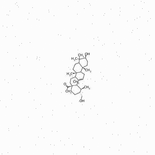 CC(=O)[C@]12CC[C@@H](CO)[C@H](C)C1C1=CCC3[C@@]4(C)CC[C@H](O)C(C)(C)C4CC[C@@]3(C)[C@]1(C)CC2